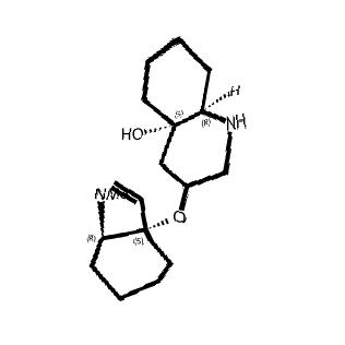 C=C[C@@]1(OC2CN[C@@H]3CCCC[C@]3(O)C2)CCCC[C@H]1NC